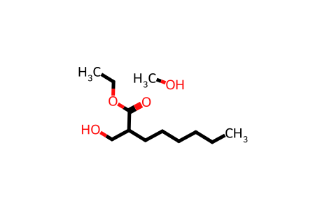 CCCCCCC(CO)C(=O)OCC.CO